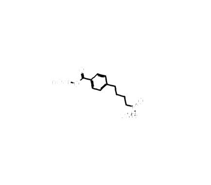 CCCCCCCCOC(=O)c1ccc(CCCC[PH](=O)OC)cc1